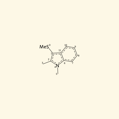 CSc1c(C)n(C)c2ccccc12